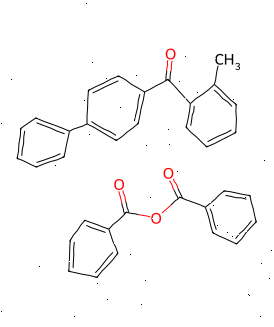 Cc1ccccc1C(=O)c1ccc(-c2ccccc2)cc1.O=C(OC(=O)c1ccccc1)c1ccccc1